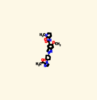 COc1cc2nn([C@H]3CC[C@H](n4ccnc4C(C)O)CC3)cc2cc1C(=O)Nc1cccn(C)c1=O